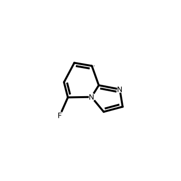 Fc1cc[c]c2nccn12